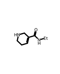 CCNC(=O)C1=CCCNC1